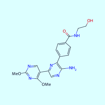 COc1ncc(-c2cnc(N)c(-c3ccc(C(=O)NCCO)cc3)n2)c(OC)n1